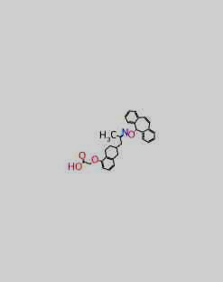 CC(CC1CCc2c(cccc2OCC(=O)O)C1)=NOC1c2ccccc2C=Cc2ccccc21